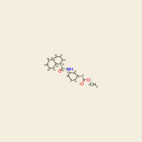 COC(=O)Cc1cccc(NC(=O)c2cccc3ccccc23)c1